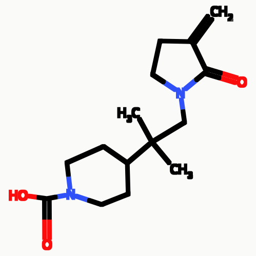 C=C1CCN(CC(C)(C)C2CCN(C(=O)O)CC2)C1=O